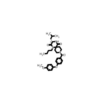 CCCCN1C(=O)[C@H](CC(C)C)NC(=O)C12CCN(Cc1ccc(Oc3ccc(OC)cc3)cc1)CC2.Cl